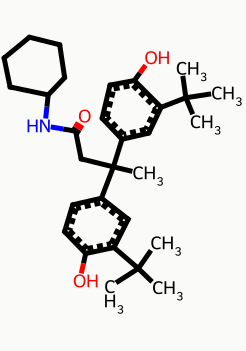 CC(C)(C)c1cc(C(C)(CC(=O)NC2CCCCC2)c2ccc(O)c(C(C)(C)C)c2)ccc1O